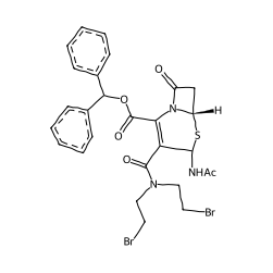 CC(=O)NC1S[C@H]2CC(=O)N2C(C(=O)OC(c2ccccc2)c2ccccc2)=C1C(=O)N(CCBr)CCBr